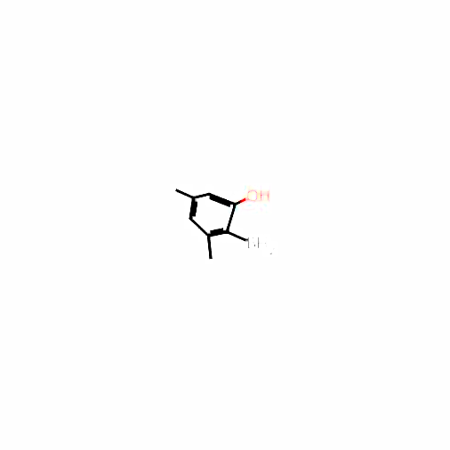 Bc1c(C)cc(C)cc1O